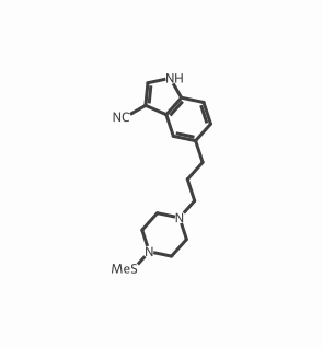 [C]SN1CCN(CCCc2ccc3[nH]cc(C#N)c3c2)CC1